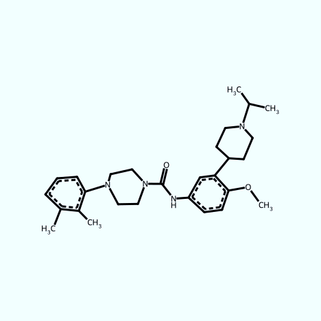 COc1ccc(NC(=O)N2CCN(c3cccc(C)c3C)CC2)cc1C1CCN(C(C)C)CC1